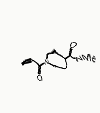 C=CC(=O)N1CCC(C(=O)NC)CC1